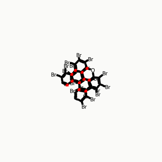 Brc1cccc(-c2c(Br)c(Br)c(Br)c(Oc3c(Br)c(Br)c(Br)c(-c4cccc(Br)c4Br)c3-c3c(Br)c(Br)c(Br)c(Br)c3Br)c2-c2c(Br)c(Br)c(Br)c(Br)c2Br)c1Br